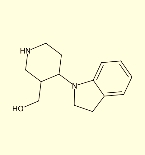 OCC1CNCCC1N1CCc2ccccc21